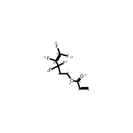 C=CC(=O)OCCC(F)(F)C(F)=C(F)F